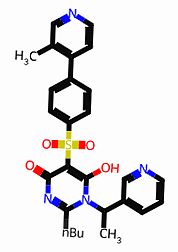 CCCCc1nc(=O)c(S(=O)(=O)c2ccc(-c3ccncc3C)cc2)c(O)n1C(C)c1cccnc1